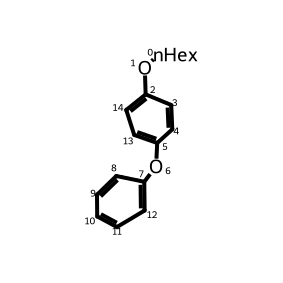 CCCCCCOc1ccc(Oc2[c]cccc2)cc1